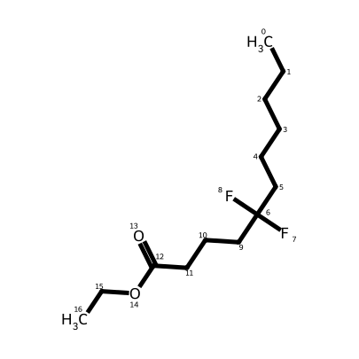 CCCCCCC(F)(F)CCCC(=O)OCC